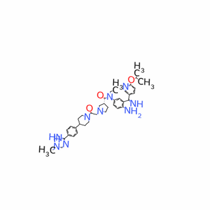 CCN(C(=O)[C@@H]1CCN(CC(=O)N2CCC(c3ccc(C(=N)/N=C\NC)cc3)CC2)C1)c1ccc(N)c(C(=N)c2ccc(OC(C)C)nc2)c1